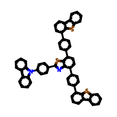 c1ccc2c(c1)sc1c(-c3ccc(-c4ccc(-c5ccc(-c6cccc7c6sc6ccccc67)cc5)c5sc(-c6ccc(-n7c8ccccc8c8ccccc87)cc6)nc45)cc3)cccc12